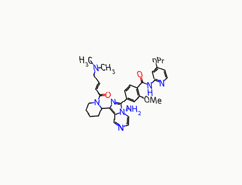 CCCc1ccnc(NC(=O)c2ccc(C3=NC(C4CCCCN4C(=O)/C=C/CN(C)C)=C4C=NC=C[N+]34N)cc2OC)c1